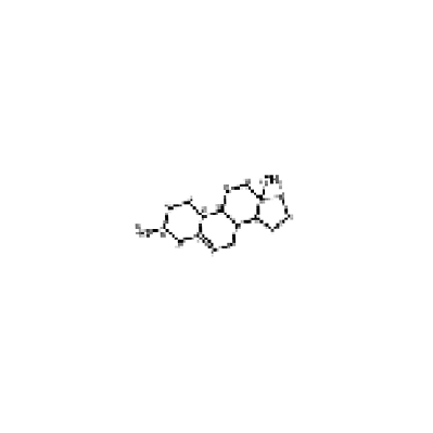 CC12CCCC1C1CC=C3CC(O)CCC3C1CC2